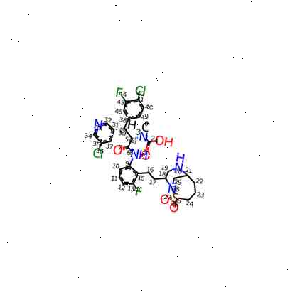 CN(C(=O)O)[C@H](C(=O)Nc1cccc(F)c1CCC1CNC2CCCS(=O)(=O)N1C2)[C@H](c1cncc(Cl)c1)c1ccc(Cl)c(F)c1